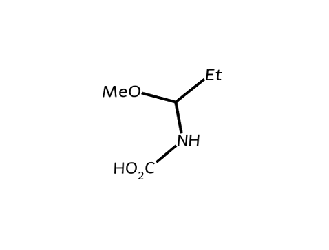 CCC(NC(=O)O)OC